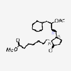 COC(=O)CCCCCC[C@H]1C(=O)CC[C@@H]1/C=C/C(CC1CCCCC1)OC(C)=O